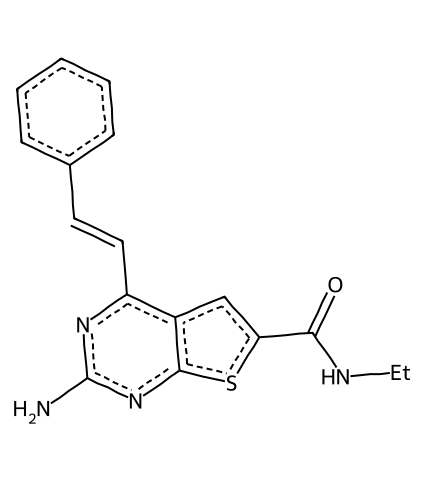 CCNC(=O)c1cc2c(/C=C/c3ccccc3)nc(N)nc2s1